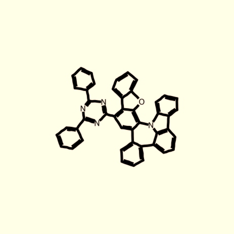 c1ccc(-c2nc(-c3ccccc3)nc(-c3cc4c(c5oc6ccccc6c35)-n3c5ccccc5c5cccc(c53)-c3ccccc3-4)n2)cc1